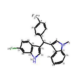 Cn1cc(C(c2ccc(C(F)(F)F)cc2)c2c[nH]c3cc(F)ccc23)c2ccccc21